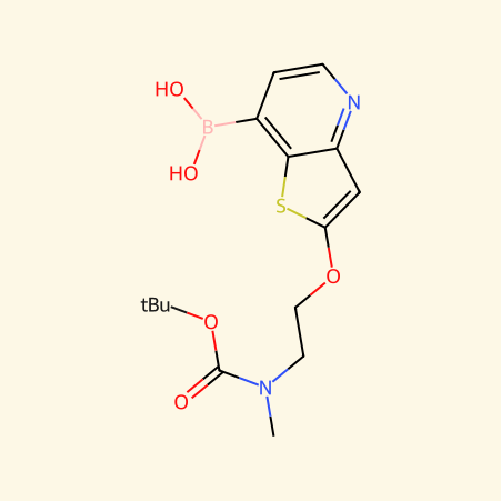 CN(CCOc1cc2nccc(B(O)O)c2s1)C(=O)OC(C)(C)C